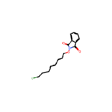 O=C1c2ccccc2C(=O)N1OCCCCCCCCCl